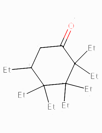 CCC1CC(=O)C(CC)(CC)C(CC)(CC)C1(CC)CC